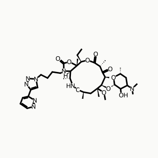 CC[C@H]1OC(=O)[C@H](C)C(=O)[C@@H](C)[C@@H](O[C@@H]2O[C@H](C)CC(N(C)C)C2O)[C@](C)(OC)C[C@@H](C)CN[C@H](C)[C@H]2N(CCCCn3cc(-c4cccnn4)nn3)C(=O)O[C@]12C